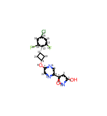 Oc1cc(-c2cnc(O[C@H]3C[C@@H](c4c(F)cc(Cl)cc4F)C3)cn2)on1